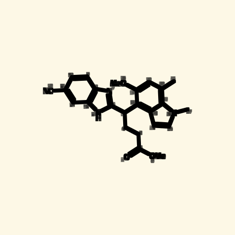 COC(=O)CCC(c1nc2ccc(C#N)cc2[nH]1)c1c(OC)cc(C)c2c1ccn2C